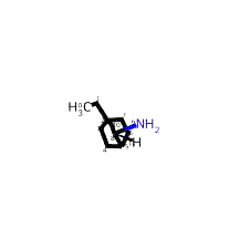 CCC12CCC(CC1)[C@@H](N)C2